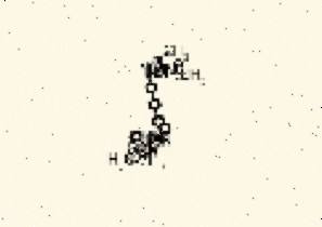 CCCN(Cc1ncc(-c2ccc(-c3ccc(-c4ccc5c(ccc6nc(CN(CCC)C(=O)[C@H](NC(=O)OC)c7ccccc7)[nH]c65)c4)cc3)cc2)[nH]1)C(=O)CNC(=O)OC